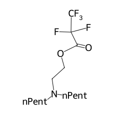 CCCCCN(CCCCC)CCOC(=O)C(F)(F)C(F)(F)F